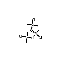 C[Si](C)(Cl)O[Si](C)(Cl)O[Si](C)(C)Cl